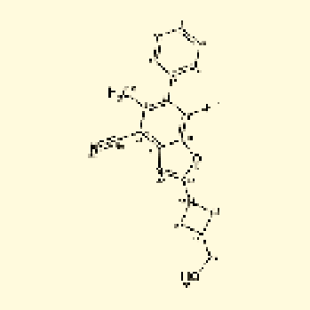 Cc1c(-c2ccccc2)c(F)c2oc(N3CC(CO)C3)nc2c1C#N